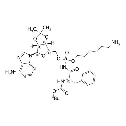 CC(C)(C)OC(=O)N[C@@H](Cc1ccccc1)C(=O)NP(=O)(OCCCCCCN)OC[C@H]1O[C@@H](n2cnc3c(N)ncnc32)[C@@H]2OC(C)(C)O[C@@H]21